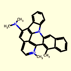 Cc1c2ccccc2cc2c1c1c3c(cc[n+]1C)cc(N(C)C)c1c4ccccc4n2c13